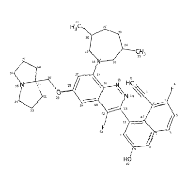 C#Cc1c(F)ccc2cc(O)cc(-c3nnc4c(N5CC(C)CCC(C)C5)cc(OCC56CCCN5CCC6)cc4c3F)c12